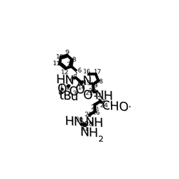 CC(C)(C)OC(=O)N[C@H](Cc1ccccc1)C(=O)N1CCCC1C(=O)NC([C]=O)CCCNC(=N)N